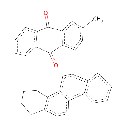 Cc1ccc2c(c1)C(=O)c1ccccc1C2=O.c1ccc2c(c1)ccc1c3c(ccc12)CCCC3